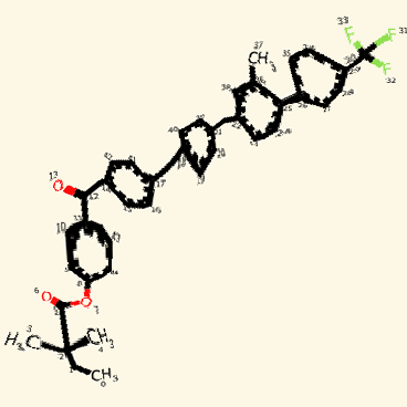 CCC(C)(C)C(=O)Oc1ccc(C(=O)c2ccc(-c3ccc(-c4ccc(-c5ccc(C(F)(F)F)cc5)c(C)c4)cc3)cc2)cc1